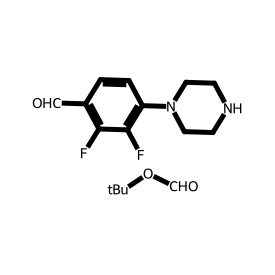 CC(C)(C)OC=O.O=Cc1ccc(N2CCNCC2)c(F)c1F